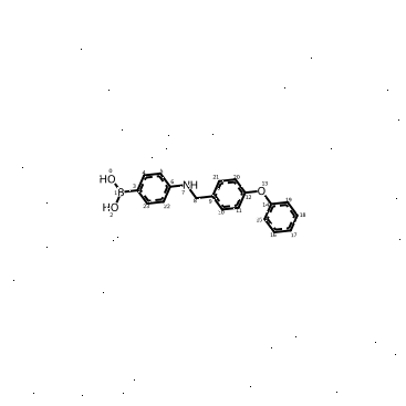 OB(O)c1ccc(NCc2ccc(Oc3ccccc3)cc2)cc1